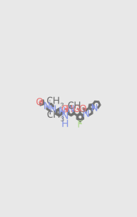 C[C@@H]1CN(c2ccc(Nc3cc(-c4cc(F)cc(N5CCc6c(cc7n6CCCC7)C5=O)c4CO)cn(C)c3=O)nc2)[C@@H](C)CN1C1COC1